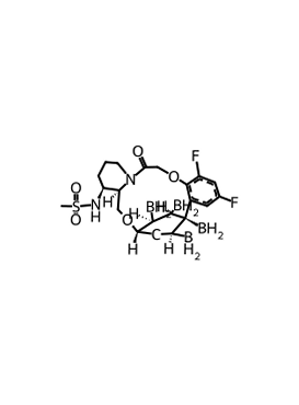 B[C@@H]1[C@@H]2C[C@H](B)[C@@](B)(c3cc(F)cc(F)c3OCC(=O)N3CCC[C@H](NS(C)(=O)=O)[C@@H]3CO2)[C@@H]1B